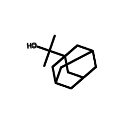 CC(C)(O)C12CC3CC(CC(C3)C1)C2